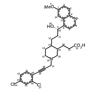 COc1ccc2nccc([C@@H](O)CCC3CCN(CC#Cc4ccc(Cl)cc4Cl)CC3CCC(=O)O)c2c1